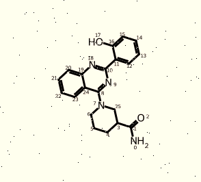 NC(=O)C1CCCN(c2nc(-c3ccccc3O)nc3ccccc23)C1